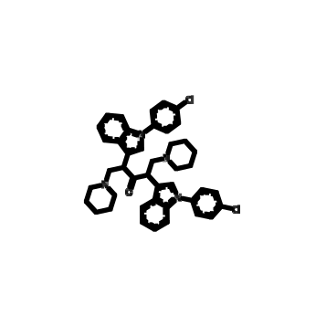 O=C(C(CN1CCCCC1)c1cn(-c2ccc(Cl)cc2)c2ccccc12)C(CN1CCCCC1)c1cn(-c2ccc(Cl)cc2)c2ccccc12